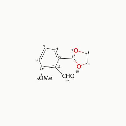 COc1cccc(C2OCCO2)c1C=O